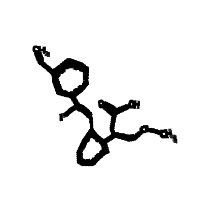 C=Cc1cccc(/C(F)=C/c2ccccc2/C(=C/OC)C(=O)O)c1